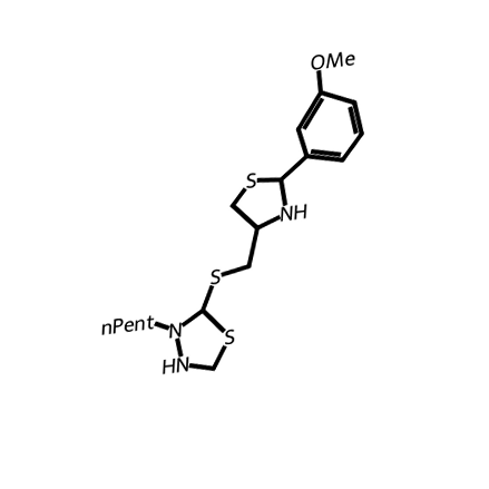 CCCCCN1NCSC1SCC1CSC(c2cccc(OC)c2)N1